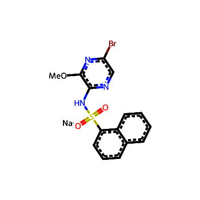 COc1nc(Br)cnc1NS(=O)(=O)c1cccc2ccccc12.[Na]